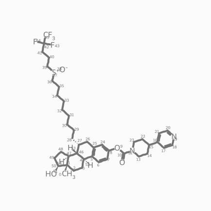 C[C@]12CC[C@@H]3c4ccc(OC(=O)N5CCC(c6ccncc6)CC5)cc4C[C@@H](CCCCCCCCC[S+]([O-])CCCC(F)(F)C(F)(F)F)[C@H]3[C@@H]1CC[C@@H]2O